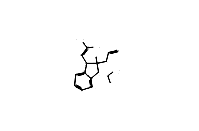 C=CCC1(C)C(C=C(C#N)C#N)c2ccccc2[C@H]1C(C#N)C#N